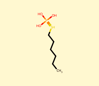 CCCCCC[SH]=P(O)(O)O